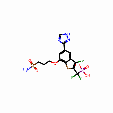 NS(=O)(=O)CCCOc1cc(-c2nc[nH]n2)cc2c(Br)c(C(F)(F)P(=O)(O)O)sc12